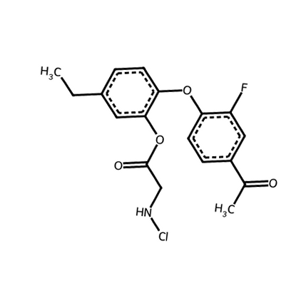 CCc1ccc(Oc2ccc(C(C)=O)cc2F)c(OC(=O)CNCl)c1